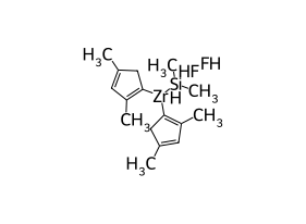 CC1=CC(C)=[C]([Zr]([C]2=C(C)C=C(C)C2)[SiH](C)C)C1.F.F